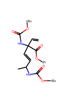 C=CC(C=CC(C)NC(=O)OCCCC)(NC(=O)OCCCC)C(=O)OC(C)C